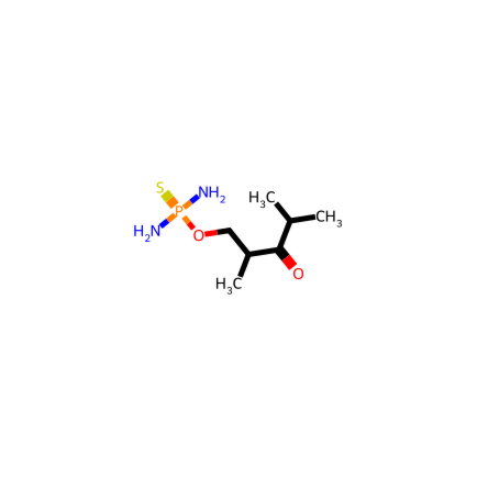 CC(C)C(=O)C(C)COP(N)(N)=S